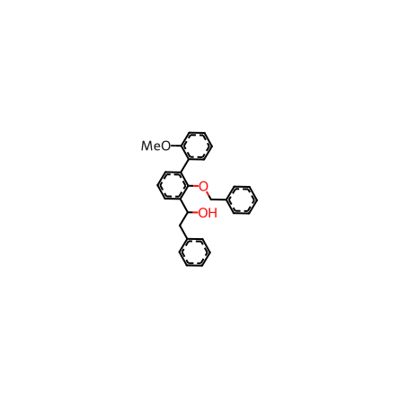 COc1ccccc1-c1cccc(C(O)Cc2ccccc2)c1OCc1ccccc1